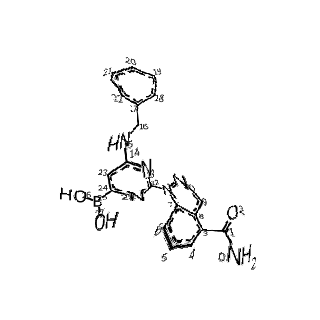 NC(=O)c1cccc2c1cnn2-c1nc(NCc2ccccc2)cc(B(O)O)n1